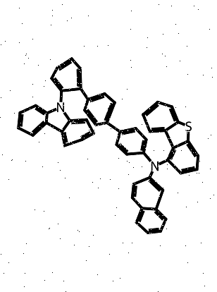 c1ccc(-n2c3ccccc3c3ccccc32)c(-c2ccc(-c3ccc(N(c4ccc5ccccc5c4)c4cccc5sc6ccccc6c45)cc3)cc2)c1